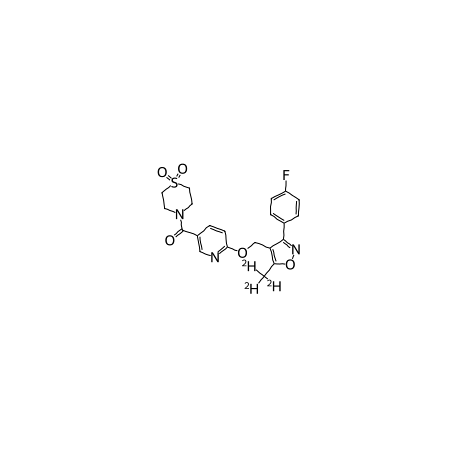 [2H]C([2H])([2H])c1onc(-c2ccc(F)cc2)c1COc1ccc(C(=O)N2CCS(=O)(=O)CC2)cn1